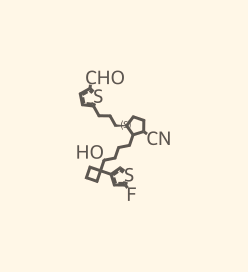 N#CC1CC[C@H](CCCc2ccc(C=O)s2)C1CCCC(O)C1(c2csc(F)c2)CCC1